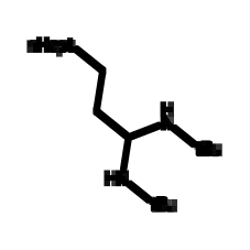 CCCCCCCCCC(NC(C)(C)C)NC(C)(C)C